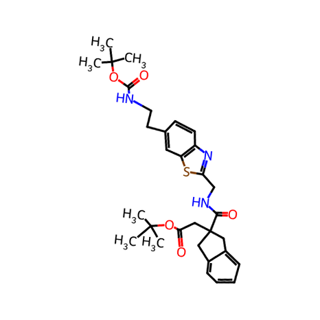 CC(C)(C)OC(=O)CC1(C(=O)NCc2nc3ccc(CCNC(=O)OC(C)(C)C)cc3s2)Cc2ccccc2C1